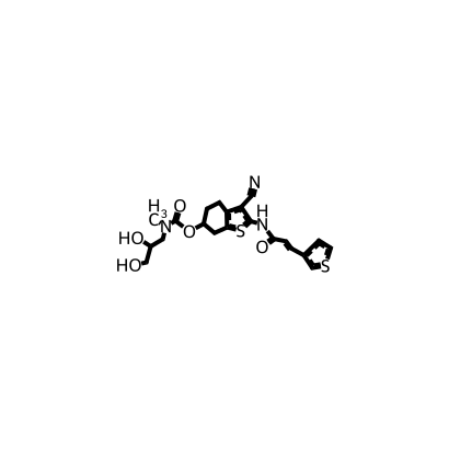 CN(CC(O)CO)C(=O)OC1CCc2c(sc(NC(=O)C=Cc3ccsc3)c2C#N)C1